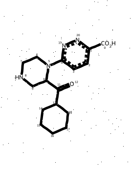 O=C(O)c1ccc(N2CCNCC2C(=O)C2CCCCC2)nn1